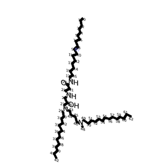 CCCCCCCC/C=C/CCCCCCCCNC(=O)CCNCC(O)CN(CCCCCCCCCCCCCC)CCCCN(C)CCCCCCCCCCCCCC